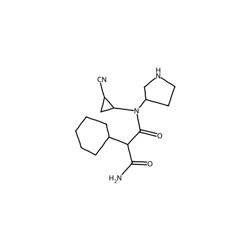 N#CC1CC1N(C(=O)C(C(N)=O)C1CCCCC1)C1CCNC1